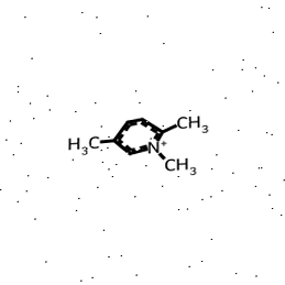 Cc1ccc(C)[n+](C)c1